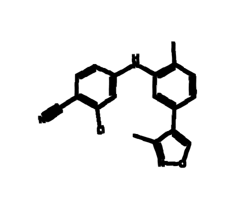 Cc1ccc(-c2conc2C)cc1Nc1ccc(C#N)c(Cl)c1